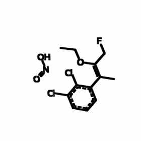 CCOC(CF)=C(C)c1cccc(Cl)c1Cl.O=NO